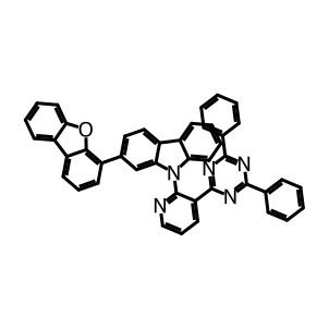 c1ccc(-c2nc(-c3ccccc3)nc(-c3cccnc3-n3c4ccccc4c4ccc(-c5cccc6c5oc5ccccc56)cc43)n2)cc1